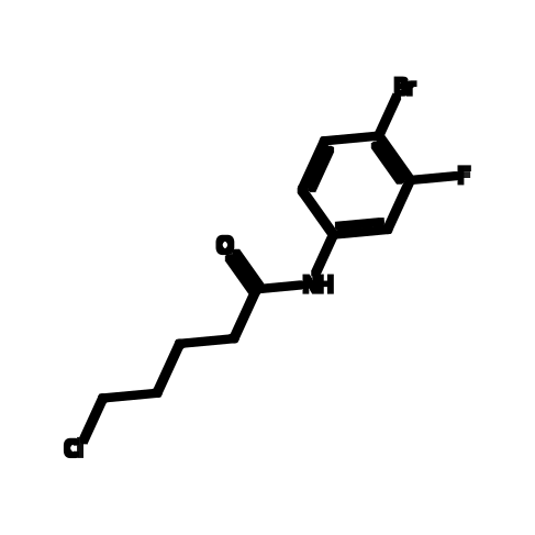 O=C(CCCCCl)Nc1ccc(Br)c(F)c1